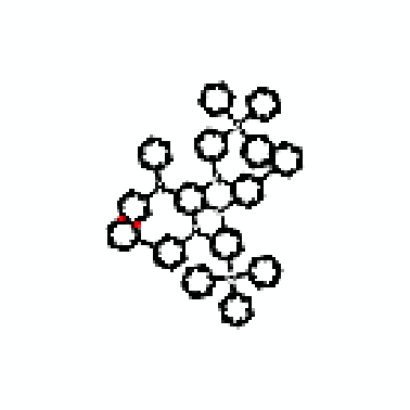 c1ccc(-c2cccc(N3c4cc([Si](c5ccccc5)(c5ccccc5)c5ccccc5)ccc4B4c5ccc(-c6ccccc6)cc5N(c5cccc([Si](c6ccccc6)(c6ccccc6)c6ccccc6)c5)c5cc(N(c6ccccc6)c6ccccc6)cc3c54)c2)cc1